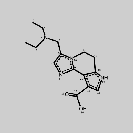 CCN(CC)Cc1cnc2n1CCc1[nH]cc(C(=O)O)c1-2